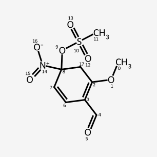 COC1=C(C=O)C=CC(OS(C)(=O)=O)([N+](=O)[O-])C1